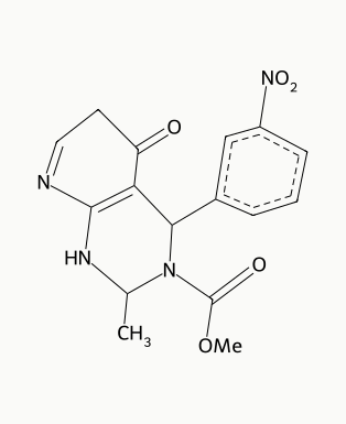 COC(=O)N1C(C)NC2=C(C(=O)CC=N2)C1c1cccc([N+](=O)[O-])c1